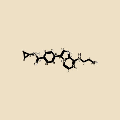 CC(C)CCNc1nccn2c(-c3ccc(C(=O)NC4CC4)cc3)cnc12